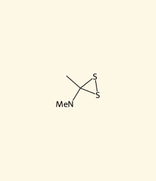 CNC1(C)SS1